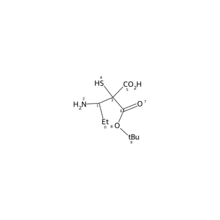 CCC(N)C(S)(C(=O)O)C(=O)OC(C)(C)C